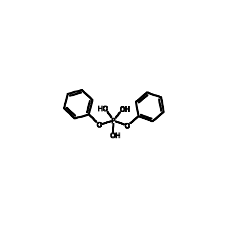 OP(O)(O)(Oc1ccccc1)Oc1ccccc1